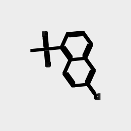 CS(=O)(=O)c1cccc2cc(Cl)ccc12